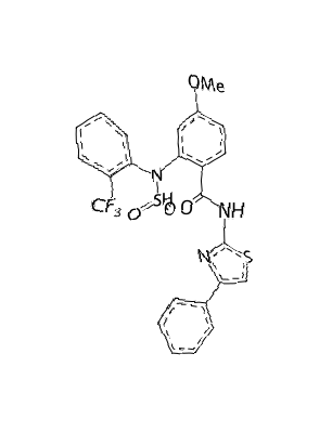 COc1ccc(C(=O)Nc2nc(-c3ccccc3)cs2)c(N(c2ccccc2C(F)(F)F)[SH](=O)=O)c1